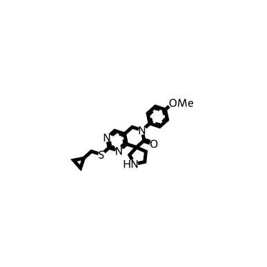 COc1ccc(N2Cc3cnc(SCC4CC4)nc3C3(CCNC3)C2=O)cc1